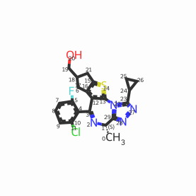 C[C@@H]1N=C(c2c(F)cccc2Cl)c2c(sc3c2CC(CO)C3)-n2c(C3CC3)nnc21